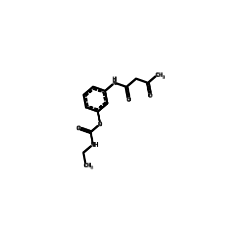 CCNC(=O)Oc1cccc(NC(=O)CC(C)=O)c1